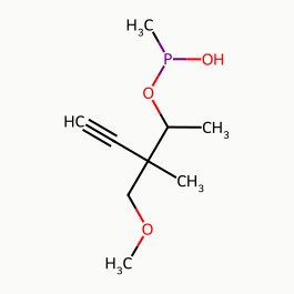 C#CC(C)(COC)C(C)OP(C)O